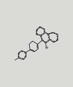 Cc1ccc(C2=CC=C(c3c(Br)c4ccccc4c4ccccc34)CC2)cc1